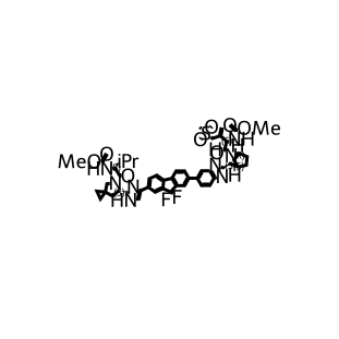 C=C(CS(C)(=O)=O)[C@H](NC(=O)OC)C(=O)N1[C@@H]2CC[C@@H](C2)[C@H]1c1nc2ccc(-c3ccc4c(c3)C(F)(F)c3cc(-c5c[nH]c([C@@H]6CC7(CC7)CN6C(=O)[C@@H](NC(=O)OC)C(C)C)n5)ccc3-4)cc2[nH]1